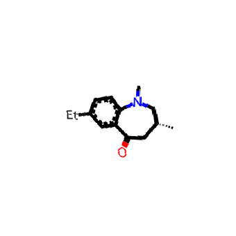 CCc1ccc2c(c1)C(=O)C[C@@H](C)CN2C